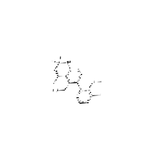 COc1c(F)cccc1-c1ccc2c(c1CO)C(C)=CC(C)(C)N2